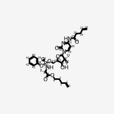 C=CCCCOC(=O)[C@H](C)N[P@](=O)(OC[C@H]1O[C@@H](n2ccc(NC(=O)CCC=C)nc2=O)[C@@](C)(F)C1O)Oc1ccccc1